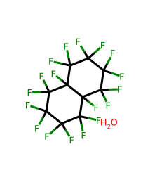 FC1(F)C(F)(F)C(F)(F)C2(F)C(F)(F)C(F)(F)C(F)(F)C(F)(F)C2(F)C1(F)F.O